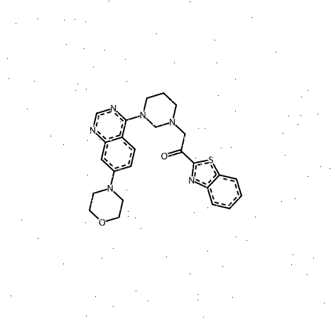 O=C(CN1CCCN(c2ncnc3cc(N4CCOCC4)ccc23)C1)c1nc2ccccc2s1